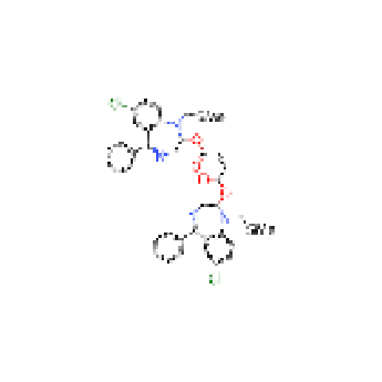 CSCN1c2ccc(Cl)cc2C(c2ccccc2)=NCC1OC(=O)/C=C\C(=O)OC1CN=C(c2ccccc2)c2cc(Cl)ccc2N1CSC